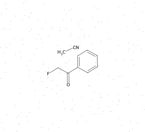 CC#N.O=C(CF)c1ccccc1